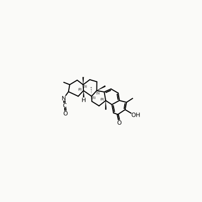 CC1=C(O)C(=O)C=C2C1=CC=C1[C@@]2(C)CC[C@@]2(C)[C@@H]3CC(N=C=O)C(C)C[C@]3(C)CC[C@]12C